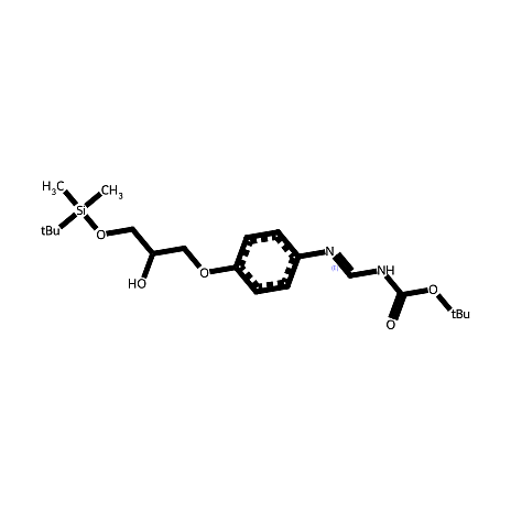 CC(C)(C)OC(=O)N/C=N/c1ccc(OCC(O)CO[Si](C)(C)C(C)(C)C)cc1